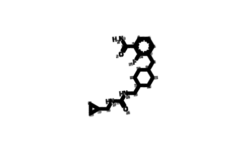 NC(=O)c1cccc(CC2CCC(CNC(=O)NCC3CC3)CC2)c1F